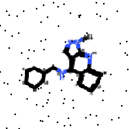 CCn1ncc2c(NCC3CCCCC3)c3ccccc3nc21